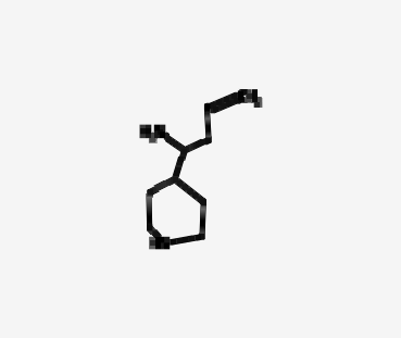 C=CCC(N)C1CCNCC1